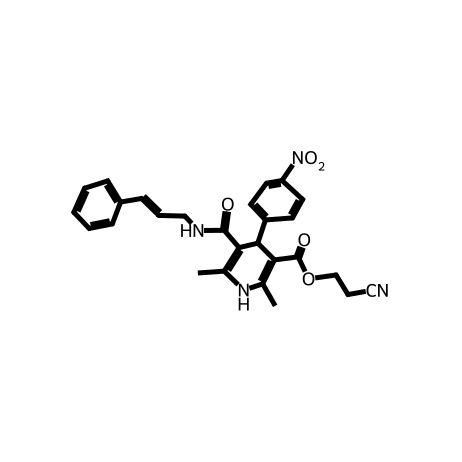 CC1=C(C(=O)NC/C=C/c2ccccc2)C(c2ccc([N+](=O)[O-])cc2)C(C(=O)OCCC#N)=C(C)N1